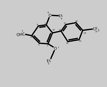 CCOc1cc(C=O)cc(OCC)c1-c1ccc(C(F)(F)F)cc1